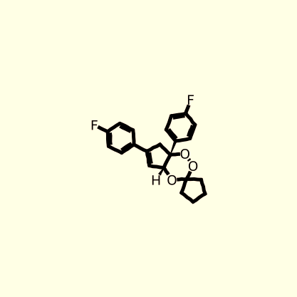 Fc1ccc(C2=C[C@H]3OC4(CCCC4)OO[C@@]3(c3ccc(F)cc3)C2)cc1